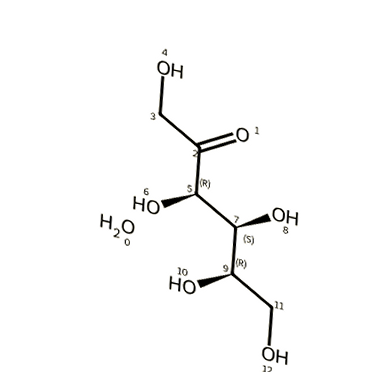 O.O=C(CO)[C@H](O)[C@@H](O)[C@H](O)CO